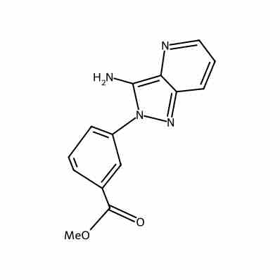 COC(=O)c1cccc(-n2nc3cccnc3c2N)c1